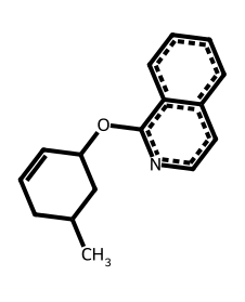 CC1CC=CC(Oc2nccc3ccccc23)C1